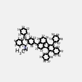 C/N=C\c1ccccc1N(c1ccccc1)c1ccc(-c2ccc3c4c(cccc24)-c2c-3c(-c3ccccc3)c3ccccc3c2-c2ccccc2)cc1